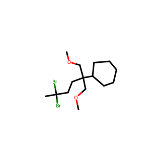 COCC(CCC(C)(Br)Br)(COC)C1CCCCC1